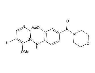 COC1=C(Br)C=NCN1Nc1ccc(C(=O)N2CCOCC2)cc1OC